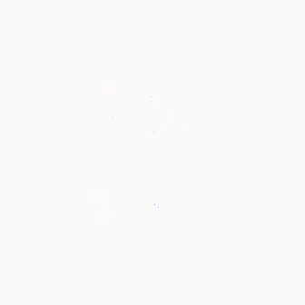 Cc1cc(-c2cccc3nc(NC(=O)C4CC4)nn23)sc1CN1CCS(=O)(=O)CC1